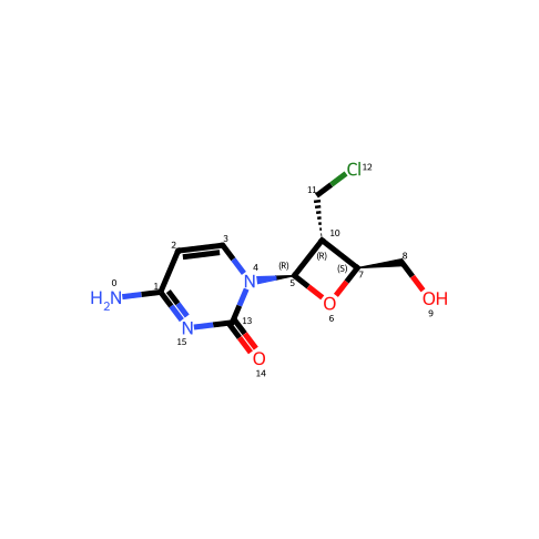 Nc1ccn([C@@H]2O[C@H](CO)[C@H]2CCl)c(=O)n1